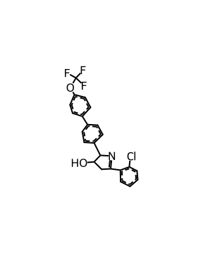 OC1CC(c2ccccc2Cl)=NC1c1ccc(-c2ccc(OC(F)(F)F)cc2)cc1